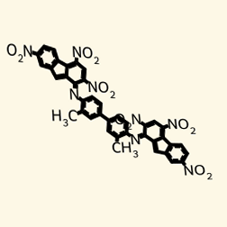 Cc1cc(-c2ccc(N=C3C4=Cc5cc([N+](=O)[O-])ccc5C4=C([N+](=O)[O-])C=C3[N+](=O)[O-])c(C)c2)ccc1N=C1C2=Cc3cc([N+](=O)[O-])ccc3C2=C([N+](=O)[O-])C=C1[N+](=O)[O-]